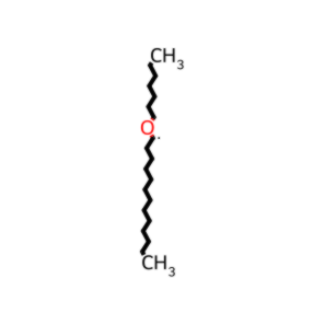 CCCCCCCCCCCC[CH]OCCCCCCC